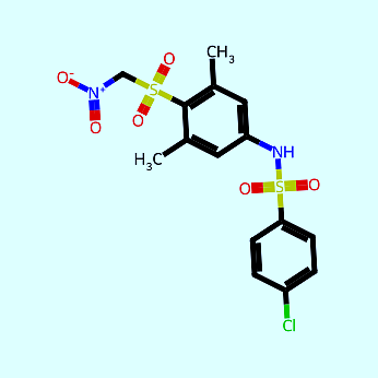 Cc1cc(NS(=O)(=O)c2ccc(Cl)cc2)cc(C)c1S(=O)(=O)C[N+](=O)[O-]